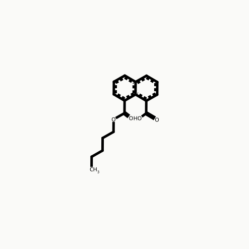 CCCCCOC(=O)c1cccc2cccc(C(=O)O)c12